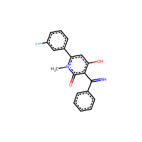 Cn1c(-c2cccc(F)c2)cc(O)c(C(=N)c2ccccc2)c1=O